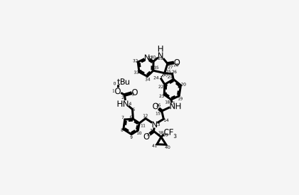 CC(C)(C)OC(=O)NCc1ccccc1CN(CC(=O)Nc1ccc2c(c1)C[C@@]1(C2)C(=O)Nc2ncccc21)C(=O)C1(C(F)(F)F)CC1